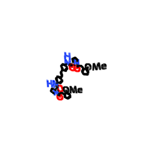 COc1ccccc1CC(=O)N1CCC[C@H]1C(=O)Nc1ccc(/C=C/c2ccc(NC(=O)[C@@H]3CCCN3C(=O)Cc3ccccc3OC)cc2)cc1